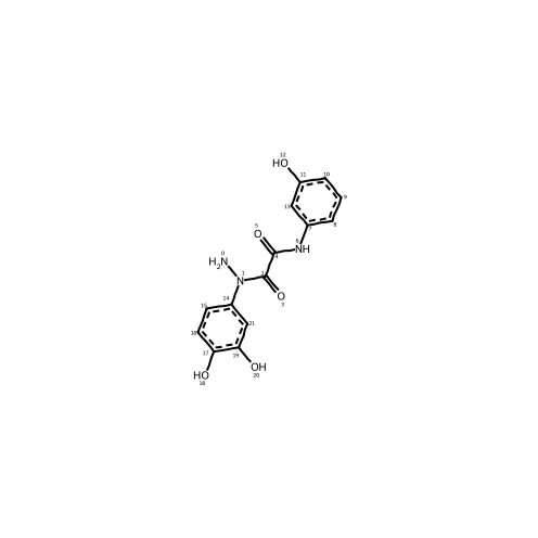 NN(C(=O)C(=O)Nc1cccc(O)c1)c1ccc(O)c(O)c1